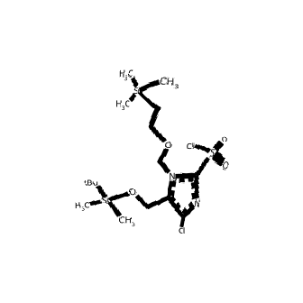 CC(C)(C)[Si](C)(C)OCc1c(Cl)nc(S(=O)(=O)Cl)n1COCC[Si](C)(C)C